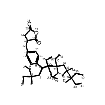 CCC(C)(CC)CC(c1ccc(CC2CC(=O)OC2=O)cc1)C(CC)(CC)C(CC)(CC)CC(C)(C)C(C)(CC)CC